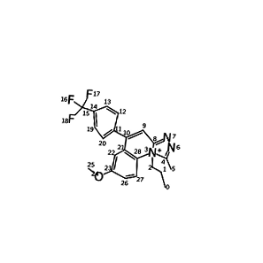 CCC[N+]12C(C)=NN=C1C=C(c1ccc(C(F)(F)F)cc1)c1cc(OC)ccc12